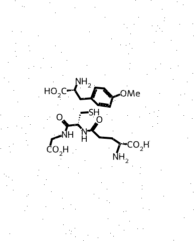 COc1ccc(C[C@H](N)C(=O)O)cc1.N[C@@H](CCC(=O)N[C@@H](CS)C(=O)NCC(=O)O)C(=O)O